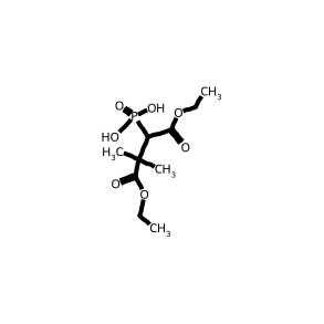 CCOC(=O)C(C(C)(C)C(=O)OCC)P(=O)(O)O